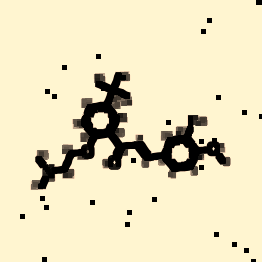 COc1ccc(C=CC(=O)c2cc(C(C)(C)C)ccc2OCCN(C)C)cc1F